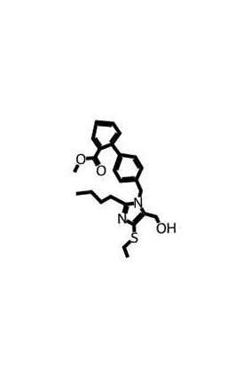 CCCCc1nc(SCC)c(CO)n1Cc1ccc(-c2ccccc2C(=O)OC)cc1